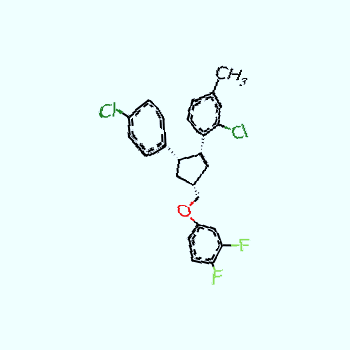 Cc1ccc([C@@H]2C[C@H](COc3ccc(F)c(F)c3)C[C@@H]2c2ccc(Cl)cc2)c(Cl)c1